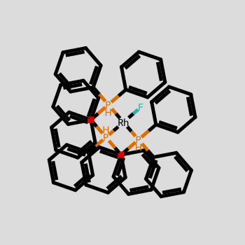 [F][Rh]([PH](c1ccccc1)(c1ccccc1)c1ccccc1)([PH](c1ccccc1)(c1ccccc1)c1ccccc1)[PH](c1ccccc1)(c1ccccc1)c1ccccc1